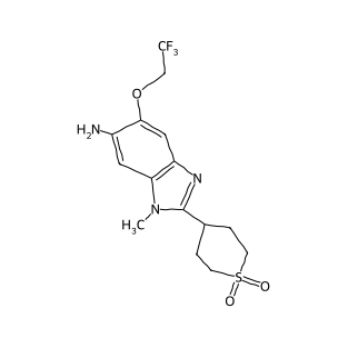 Cn1c(C2CCS(=O)(=O)CC2)nc2cc(OCC(F)(F)F)c(N)cc21